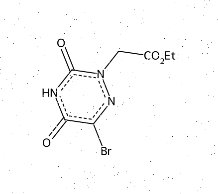 CCOC(=O)Cn1nc(Br)c(=O)[nH]c1=O